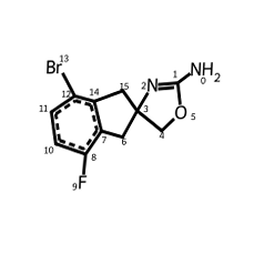 NC1=NC2(CO1)Cc1c(F)ccc(Br)c1C2